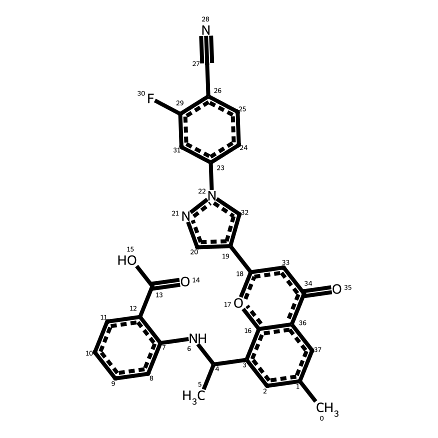 Cc1cc(C(C)Nc2ccccc2C(=O)O)c2oc(-c3cnn(-c4ccc(C#N)c(F)c4)c3)cc(=O)c2c1